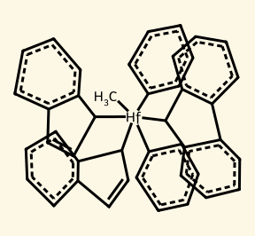 [CH3][Hf]([c]1ccccc1)([c]1ccccc1)([CH]1C=Cc2ccccc21)([CH]1C=Cc2ccccc21)[CH]1c2ccccc2-c2ccccc21